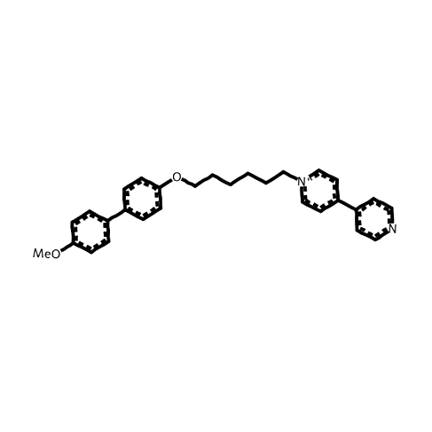 COc1ccc(-c2ccc(OCCCCCC[n+]3ccc(-c4ccncc4)cc3)cc2)cc1